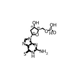 Nc1nc2c(ncn2[C@H]2C[C@@H](O)[C@@H](CO[PH](=O)O)O2)c(=S)[nH]1